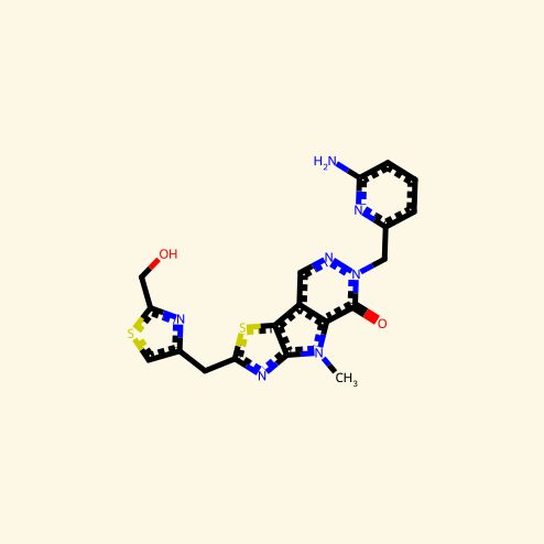 Cn1c2nc(Cc3csc(CO)n3)sc2c2cnn(Cc3cccc(N)n3)c(=O)c21